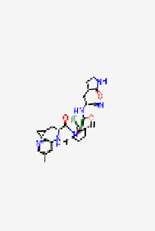 Cc1cncc(N[C@@H](CC2CC2)C(=O)N2[C@@H]3CC[C@H]([C@H]2C(=O)N[C@H](C#N)C[C@H]2CCNC2=O)C(F)(F)C3)c1